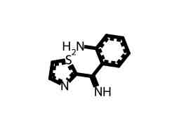 N=C(c1nccs1)c1ccccc1N